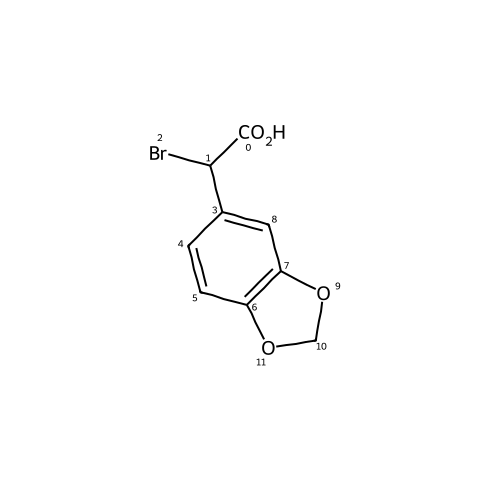 O=C(O)C(Br)c1ccc2c(c1)OCO2